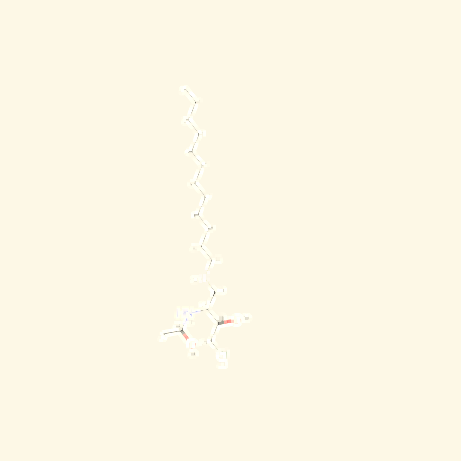 CCCCCCCCCCCCSC[C@H](NC(C)=O)C(=O)CCl